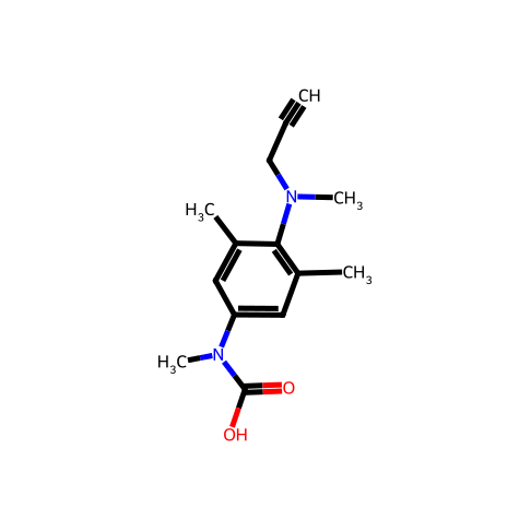 C#CCN(C)c1c(C)cc(N(C)C(=O)O)cc1C